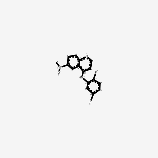 C[S+]([O-])c1ccc2nccc(Nc3cc(F)ccc3F)c2c1